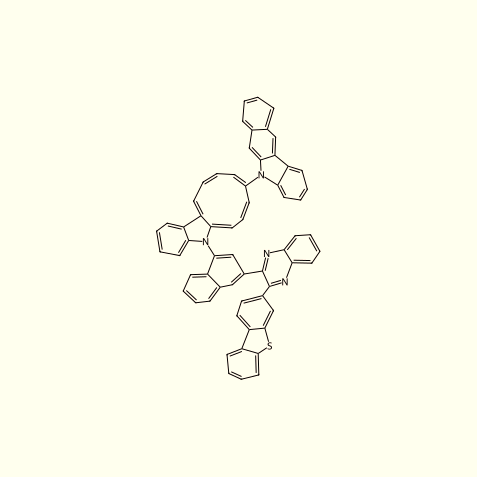 c1ccc2c3ccccc3n(-c3cc(-c4nc5ccccc5nc4-c4ccc5c(c4)sc4ccccc45)cc4ccccc34)c2cccc(-n2c3ccccc3c3cc4ccccc4cc32)c1